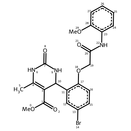 COC(=O)C1=C(C)NC(=O)NC1c1cc(Br)ccc1OCC(=O)Nc1ccccc1OC